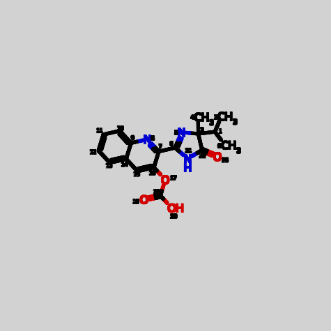 CC(C)C1(C)N=C(c2nc3ccccc3cc2OC(=O)O)NC1=O